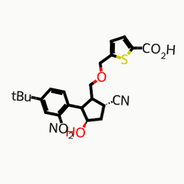 CC(C)(C)c1ccc(C2C(COCc3ccc(C(=O)O)s3)[C@H](C#N)C[C@H]2O)c([N+](=O)[O-])c1